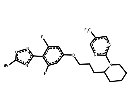 CC(C)c1nc(-c2c(F)cc(OCCCC3CCCCN3c3ncc(C(F)(F)F)cn3)cc2F)no1